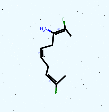 C/C(F)=C(/N)C/C=C\C/C=C(\C)F